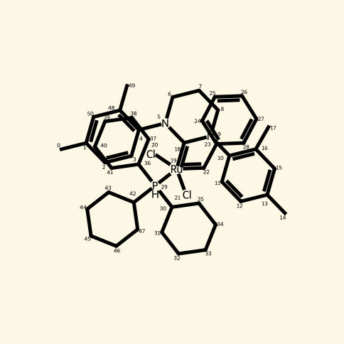 Cc1ccc(N2CCCN(c3ccc(C)cc3C)[C]2=[Ru]([Cl])([Cl])(=[CH]c2ccccc2)[PH](C2CCCCC2)(C2CCCCC2)C2CCCCC2)c(C)c1